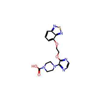 O=C(O)N1CCN(c2nccnc2OCCOc2cccc3nsnc23)CC1